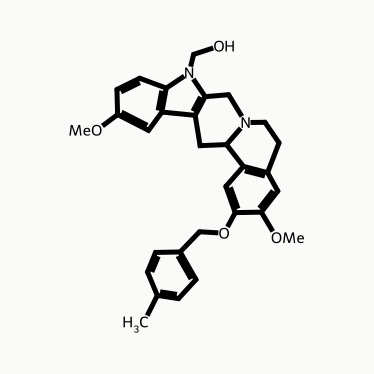 COc1ccc2c(c1)c1c(n2CO)CN2CCc3cc(OC)c(OCc4ccc(C)cc4)cc3C2C1